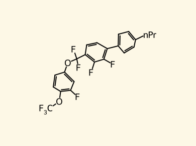 CCCc1ccc(-c2ccc(C(F)(F)Oc3ccc(OC(F)(F)F)c(F)c3)c(F)c2F)cc1